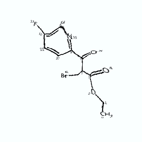 CCOC(=O)C(Br)C(=O)c1ccc(F)cn1